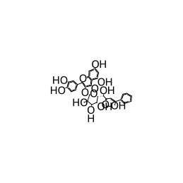 O=C(C=C(O)c1ccccc1)C(O)[C@H]1O[C@@H](Oc2c(-c3ccc(O)c(O)c3)oc3cc(O)cc(O)c3c2=O)[C@H](O)[C@@H](O)[C@H]1O